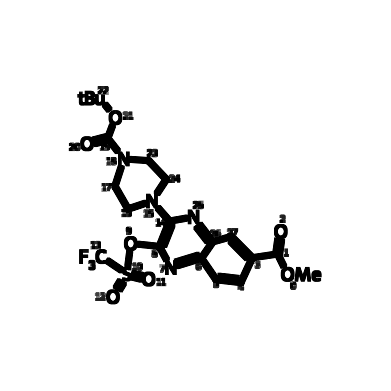 COC(=O)c1ccc2nc(OS(=O)(=O)C(F)(F)F)c(N3CCN(C(=O)OC(C)(C)C)CC3)nc2c1